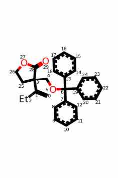 C=C(CC)[C@]1(COC(c2ccccc2)(c2ccccc2)c2ccccc2)CCOC1=O